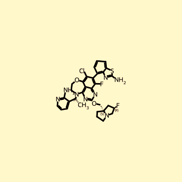 C[C@H](c1cccnc1N)N1CCOc2c(Cl)c(-c3cccc4sc(N)nc34)c(F)c3nc(OC[C@@]45CCCN4C[C@H](F)C5)nc1c23